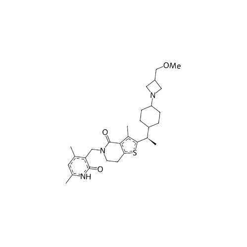 COCC1CN(C2CCC([C@@H](C)c3sc4c(c3C)C(=O)N(Cc3c(C)cc(C)[nH]c3=O)CC4)CC2)C1